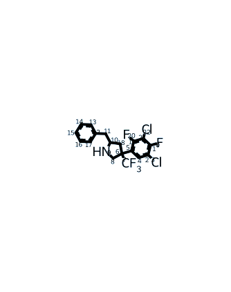 Fc1c(Cl)cc(C2(C(F)(F)F)CNC(Cc3ccccc3)C2)c(F)c1Cl